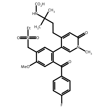 CCS(=O)(=O)Cc1cc(-c2cn(C)c(=O)cc2CCC(C)(C)NC(=O)O)c(C(=O)c2ccc(F)cc2)cc1OC